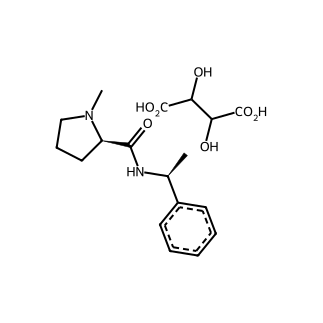 C[C@H](NC(=O)[C@H]1CCCN1C)c1ccccc1.O=C(O)C(O)C(O)C(=O)O